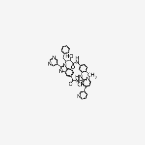 CNC(=O)c1ccc2c(c1)nc(-c1cncnc1)n2C(Cc1ccccc1)C(O)C(=O)Nc1ccc(C)c(Nc2nccc(-c3cccnc3)n2)c1